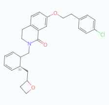 O=C1c2cc(OCCc3ccc(Cl)cc3)ccc2CCN1CC1C=CC=C[C@@H]1CC1CCO1